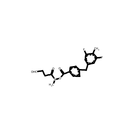 Cc1c(F)cc(Cc2ccc(C(=O)ON(C)C(=O)CCC=O)cc2)cc1F